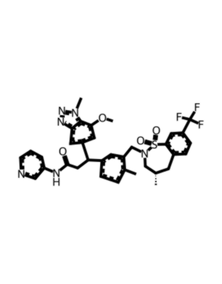 COc1cc(C(CC(=O)Nc2cccnc2)c2ccc(C)c(CN3C[C@@H](C)Cc4ccc(C(F)(F)F)cc4S3(=O)=O)c2)cc2nnn(C)c12